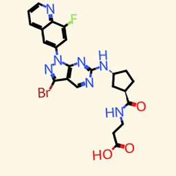 O=C(O)CCNC(=O)[C@@H]1CC[C@@H](Nc2ncc3c(Br)nn(-c4cc(F)c5ncccc5c4)c3n2)C1